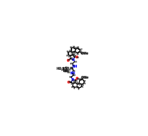 COc1ccc2ccc3ccc4c(c3c2c1)C(=O)N(CCNCCNCCN1C(=O)c2ccc3ccc5ccc(OC)cc5c3c2C1=O)C4=O.CS(=O)(=O)O.CS(=O)(=O)O